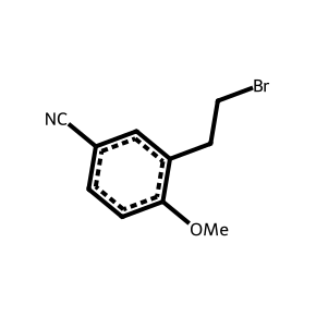 COc1ccc(C#N)cc1CCBr